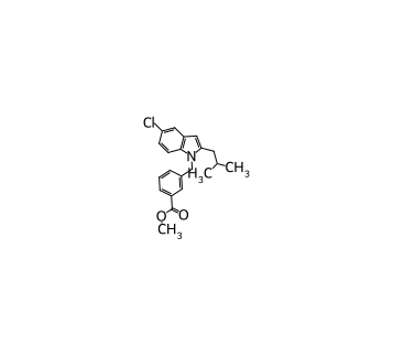 COC(=O)c1cccc(Cn2c(CC(C)C)cc3cc(Cl)ccc32)c1